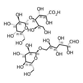 O=C(O)[C@H](O)[C@@H](O)[C@H](O[C@@H]1O[C@H](CO)[C@H](O)[C@H](O)[C@H]1O)[C@H](O)CO.O=C[C@H](O)[C@@H](O)[C@H](O)[C@H](O)CO[C@H]1O[C@H](CO)[C@@H](O)[C@H](O)[C@H]1O